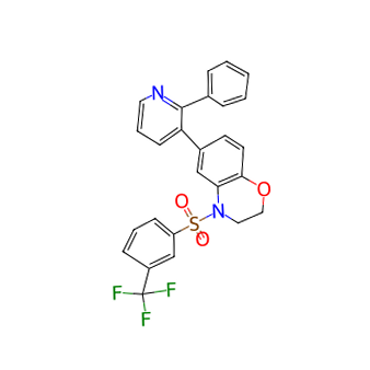 O=S(=O)(c1cccc(C(F)(F)F)c1)N1CCOc2ccc(-c3cccnc3-c3ccccc3)cc21